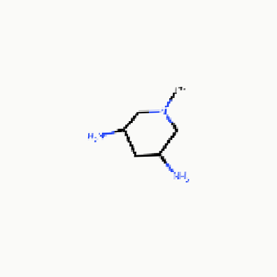 CC(C)N1CC(N)CC(N)C1